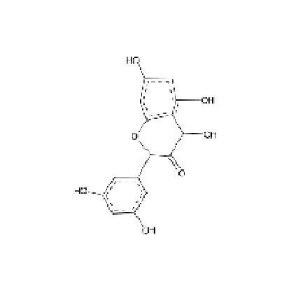 O=C1C(O)c2c(O)cc(O)cc2OC1c1cc(O)cc(O)c1